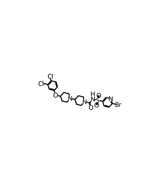 O=C(NS(=O)(=O)c1ccc(Br)nc1)N1CCC(N2CCC(Oc3ccc(Cl)c(Cl)c3)CC2)CC1